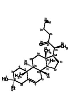 CC[C@]1(O)CC[C@@]2(C)C(=CC[C@H]3[C@@H]4CC[C@H]([C@H](C)C(=O)CCC(C)(C)C)[C@@]4(C)CC[C@@H]32)C1